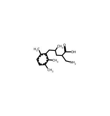 Cc1ccc(C)c(CC(C)CC(CN)C(=O)O)c1C